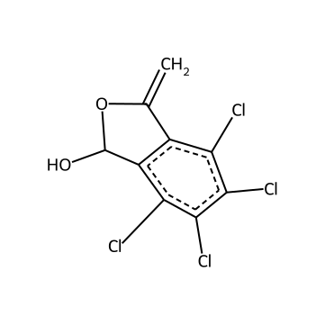 C=C1OC(O)c2c(Cl)c(Cl)c(Cl)c(Cl)c21